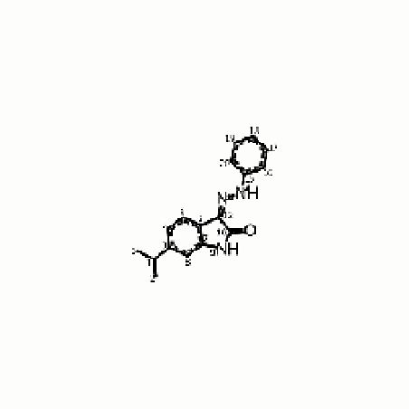 CC(C)c1ccc2c(c1)NC(=O)C2=NNc1ccccc1